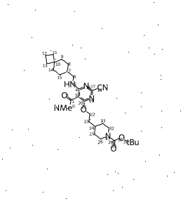 CNC(=O)c1c(NCC2CCC3(CCC3)CC2)nc(C#N)nc1OCCC1CCN(C(=O)OC(C)(C)C)CC1